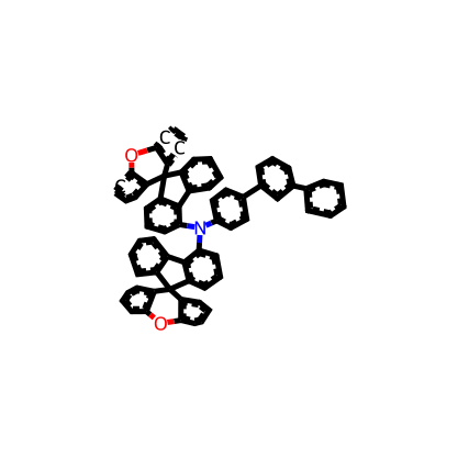 c1ccc(-c2cccc(-c3ccc(N(c4cccc5c4-c4ccccc4C54c5ccccc5Oc5ccccc54)c4cccc5c4-c4ccccc4C54c5ccccc5Oc5ccccc54)cc3)c2)cc1